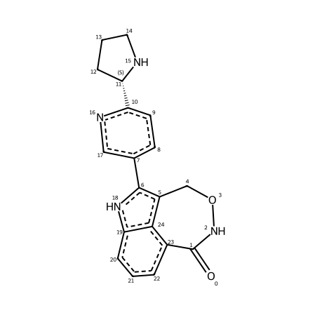 O=C1NOCc2c(-c3ccc([C@@H]4CCCN4)nc3)[nH]c3cccc1c23